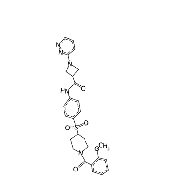 COc1ccccc1C(=O)N1CCC(S(=O)(=O)c2ccc(NC(=O)C3CN(c4cccnn4)C3)cc2)CC1